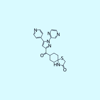 O=C1CSC2(CCC(C(=O)c3cc(-c4ccncc4)n(-c4cnccn4)n3)CC2)N1